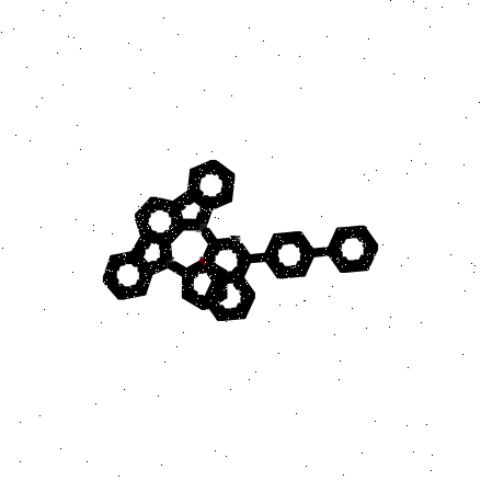 c1ccc(-c2ccc(-c3nc(-n4c5ccccc5c5ccc6c7ccccc7n(-c7ccccc7)c6c54)nc4ccccc34)cc2)cc1